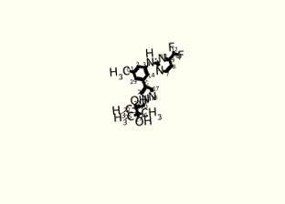 Cc1cc(Nc2nccc(C(F)F)n2)cc(-c2cnn(C[C@](C)(O)C(C)(C)O)c2)c1